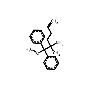 C=CCCC(C)(N)C(OC)(c1ccccc1)c1ccccc1